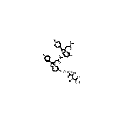 CO.Cc1ccc(-c2nc3ccc(C)cn3c2CC(=O)N(C)C)cc1.Cc1ccc(-c2nc3ccc(C)cn3c2CC(=O)N(C)C)cc1.O=C(O)C(O)C(O)C(=O)O